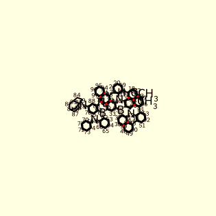 CC(C)(C)c1cc2c3c(c1)N(c1c(-c4ccccc4)cccc1-c1ccccc1)c1cc4c(cc1B3c1ccccc1N2c1c(-c2ccccc2)cccc1-c1ccccc1)B1c2ccccc2N(c2ccccc2)c2cc(N3C5CC6CC(C5)CC3C6)cc(c21)N4c1ccccc1